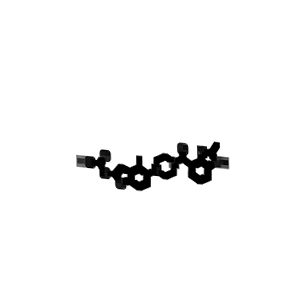 Cc1nc2c(C(=O)N3CCN(c4ccc5oc(OC(=O)O)cc5c4C)CC3)cccc2[nH]1